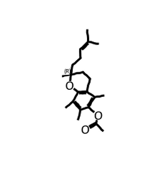 CC(=O)Oc1c(C)c(C)c2c(c1C)CC[C@@](C)(CCC=C(C)C)O2